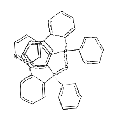 S=P(c1ccccc1)(c1ccccc1)c1ccccc1-c1ccnc(-c2ccccc2P(=S)(c2ccccc2)c2ccccc2)c1